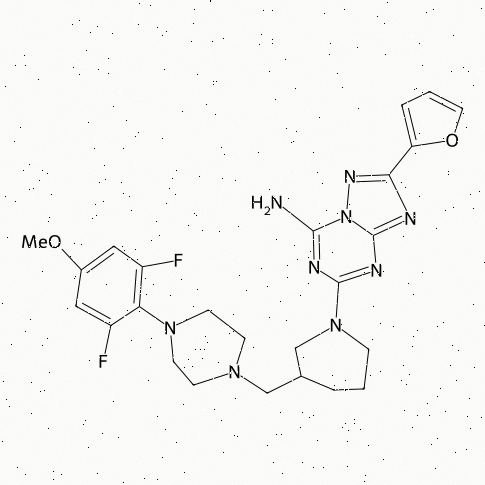 COc1cc(F)c(N2CCN(CC3CCCN(c4nc(N)n5nc(-c6ccco6)nc5n4)C3)CC2)c(F)c1